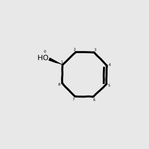 O[C@H]1CC/C=C\CCC1